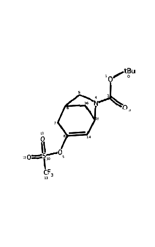 CC(C)(C)OC(=O)N1CC2CC(OS(=O)(=O)C(F)(F)F)=CC1C2